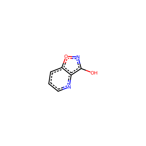 Oc1noc2cccnc12